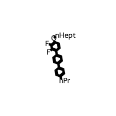 CCCCCCCOc1ccc(-c2ccc(-c3ccc(CCC)cc3)cc2)c(F)c1F